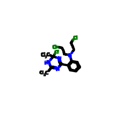 ClCCN(CCCl)c1ccccc1C1=NC(Cl)(C(Cl)(Cl)Cl)NC(C(Cl)(Cl)Cl)=N1